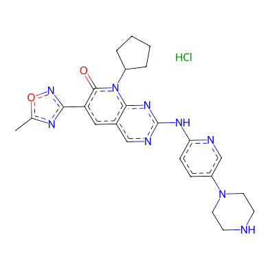 Cc1nc(-c2cc3cnc(Nc4ccc(N5CCNCC5)cn4)nc3n(C3CCCC3)c2=O)no1.Cl